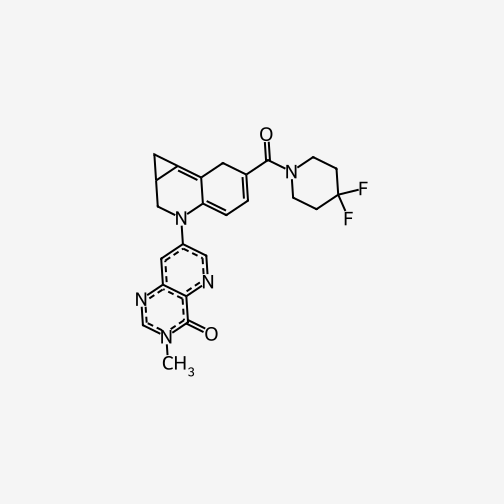 Cn1cnc2cc(N3CC4CC4=C4CC(C(=O)N5CCC(F)(F)CC5)=CC=C43)cnc2c1=O